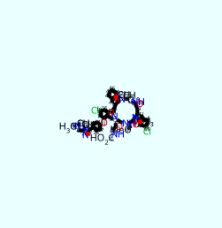 COC[C@@H]1NC(=O)[C@H](CCCNC(=O)O)N(Cc2ccc(Cl)cc2Oc2ccc(-c3cnc(CN(C)C)n3C)cc2)C(=O)C[C@@H](Cc2ccccc2)C(=O)N(C)[C@@H](C)CNC(=O)C[C@H](Cc2ccc(Cl)cc2)N(C)C1=O